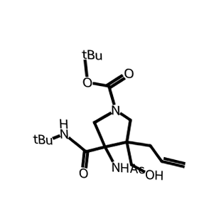 C=CCC1(CO)CN(C(=O)OC(C)(C)C)CC1(NC(C)=O)C(=O)NC(C)(C)C